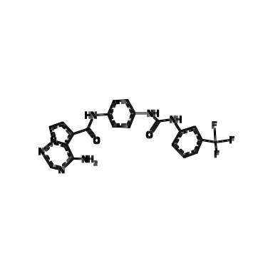 Nc1ncnn2ccc(C(=O)Nc3ccc(NC(=O)Nc4cccc(C(F)(F)F)c4)cc3)c12